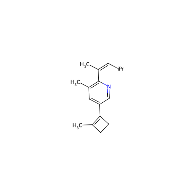 CC1=C(c2cnc(/C(C)=C\C(C)C)c(C)c2)CC1